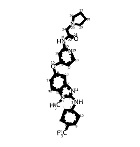 Cn1c(Nc2ccc(C(F)(F)F)cc2)nc2cc(Oc3ccnc(NC(=O)CN4CCCC4)c3)ccc21